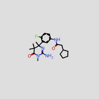 CN1C(=O)C(C)(C)C(C)(c2cc(NC(=O)CC3CCCC3)ccc2F)N=C1N